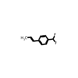 C/C=C/c1ccc(C(F)F)cc1